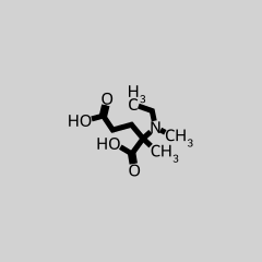 CCN(C)C(C)(CCC(=O)O)C(=O)O